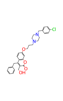 O=c1oc2cc(OCCCN3CCN(Cc4ccc(Cl)cc4)CC3)ccc2c(Cc2ccccc2)c1CO